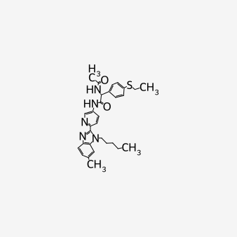 CCCCCn1c(-c2ccc(NC(=O)C(NC(C)=O)c3ccc(SCC)cc3)cn2)nc2ccc(C)cc21